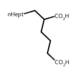 CCCCCCCCC(CCCC(=O)O)C(=O)O